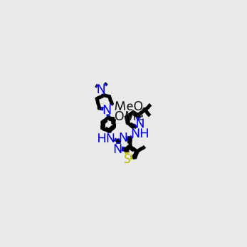 COc1cc(Nc2nc(Nc3cccc(C(C)(C)OC)n3)c3c(C)csc3n2)ccc1N1CCC(N(C)C)CC1